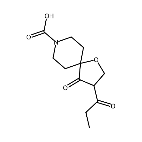 CCC(=O)C1COC2(CCN(C(=O)O)CC2)C1=O